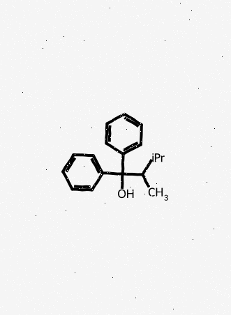 CC(C)C(C)C(O)(c1ccccc1)c1ccccc1